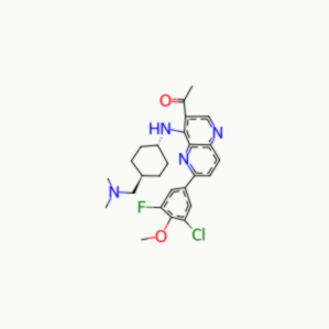 COc1c(F)cc(-c2ccc3ncc(C(C)=O)c(N[C@H]4CC[C@H](CN(C)C)CC4)c3n2)cc1Cl